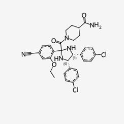 CCOc1cc(C#N)ccc1C1(C(=O)N2CCC(C(N)=O)CC2)N[C@H](c2ccc(Cl)cc2)[C@H](c2ccc(Cl)cc2)N1